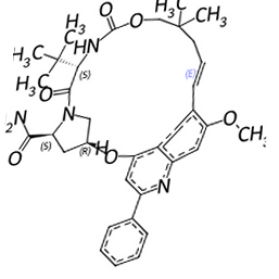 COc1cc2nc(-c3ccccc3)cc3c2cc1/C=C/CC(C)(C)COC(=O)N[C@@H](C(C)(C)C)C(=O)N1C[C@@H](C[C@H]1C(N)=O)O3